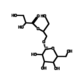 O=C(OC(CO)CO[C@@H]1OC(CO)C(O)C(O)C1O)C(O)CO